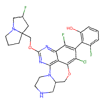 Oc1cccc(F)c1-c1c(Cl)c2c3c(nc(OCC45CCCN4CC(F)C5)nc3c1F)N1CCNCC1CO2